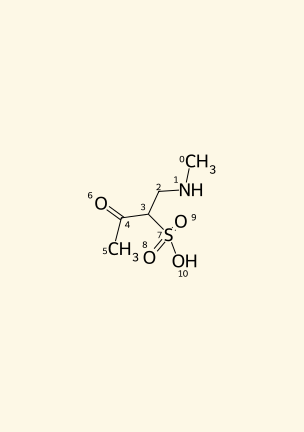 CNCC(C(C)=O)S(=O)(=O)O